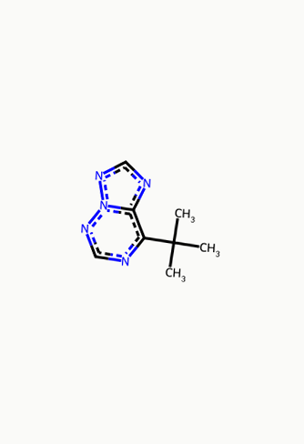 CC(C)(C)c1ncnn2ncnc12